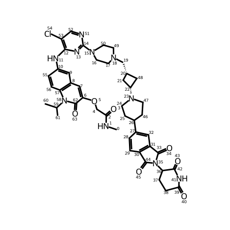 CNC(=O)COc1cc2cc(Nc3nc(N4CCN(C[C@H]5C[C@@H](N6CCC(c7ccc8c(c7)C(=O)N(C7CCC(=O)NC7=O)C8=O)CC6)C5)CC4)ncc3Cl)ccc2n(C(C)C)c1=O